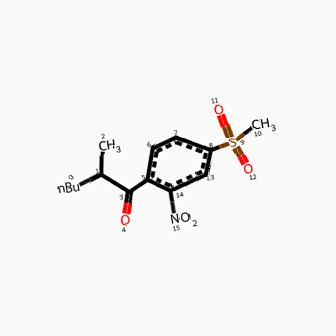 CCCCC(C)C(=O)c1ccc(S(C)(=O)=O)cc1[N+](=O)[O-]